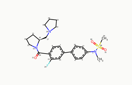 CN(c1ccc(-c2ccc(C(=O)N3CCC[C@H]3CN3CCCC3)c(F)c2)cc1)S(C)(=O)=O